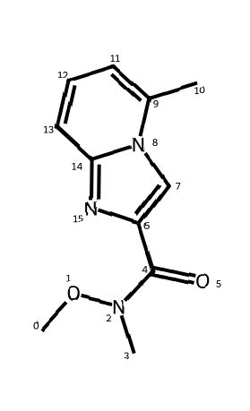 CON(C)C(=O)c1cn2c(C)cccc2n1